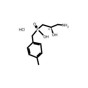 Cc1ccc(CP(=O)(O)C[C@H](O)CN)cc1.Cl